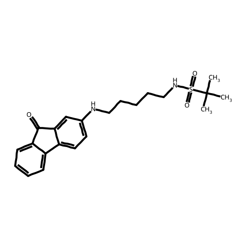 CC(C)(C)S(=O)(=O)NCCCCCNc1ccc2c(c1)C(=O)c1ccccc1-2